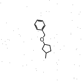 CC1CCC(OCc2ccccc2)C1